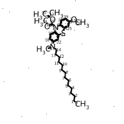 CCCCCCCCCCCCCCCN(C)c1ccc2c(c1)Sc1cc(OC)ccc1N2C(=O)OC(C)(C)C